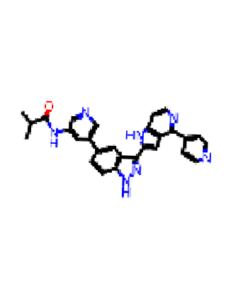 CC(C)C(=O)Nc1cncc(-c2ccc3[nH]nc(-c4cc5c(-c6ccncc6)nccc5[nH]4)c3c2)c1